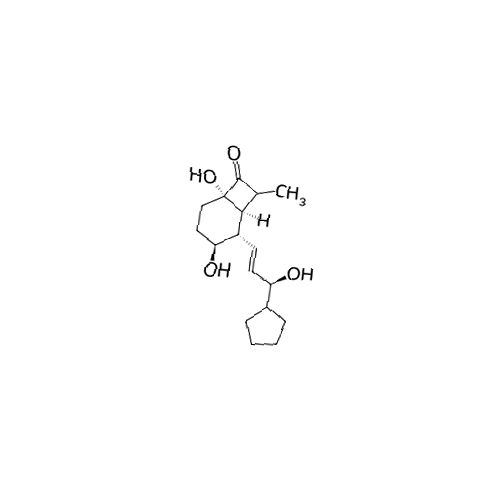 CC1C(=O)[C@]2(O)CC[C@H](O)[C@@H](/C=C/[C@@H](O)C3CCCC3)[C@H]12